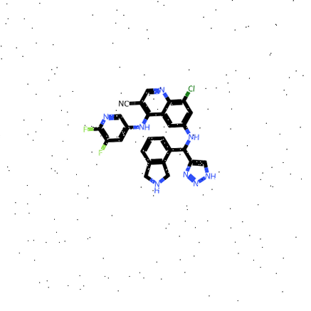 N#Cc1cnc2c(Cl)cc(NC(c3c[nH]nn3)c3cccc4c3CNC4)cc2c1Nc1cnc(F)c(F)c1